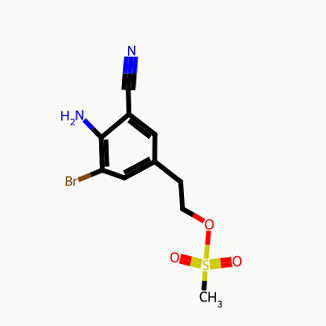 CS(=O)(=O)OCCc1cc(Br)c(N)c(C#N)c1